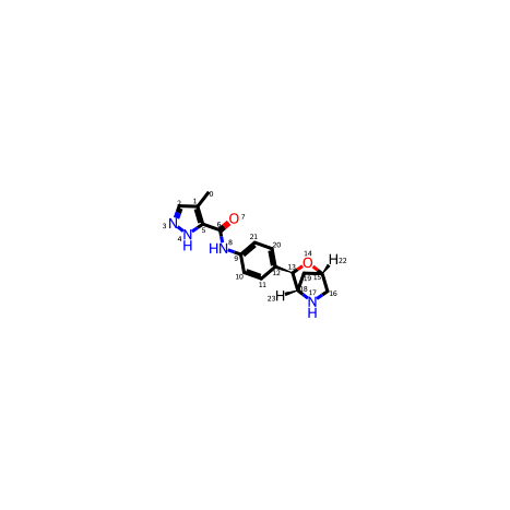 Cc1cn[nH]c1C(=O)Nc1ccc([C@H]2O[C@@H]3CN[C@H]2C3)cc1